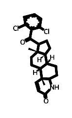 C[C@]12C=CC(=O)NC1CC[C@@H]1[C@H]2CC[C@]2(C)C(C(=O)c3c(Cl)cccc3Cl)CC[C@@H]12